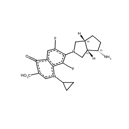 N[C@H]1CC[C@H]2CN(c3c(F)cc4c(=O)c(C(=O)O)cn(C5CC5)c4c3F)C[C@H]21